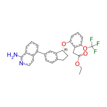 CCOC(=O)Cc1c(O[C@@H]2CCc3ccc(-c4cccc5c(N)nccc45)cc32)cccc1OC(F)(F)F